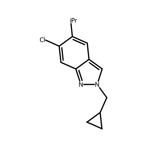 CC(C)c1cc2cn(CC3CC3)nc2cc1Cl